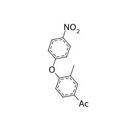 CC(=O)c1ccc(Oc2ccc([N+](=O)[O-])cc2)c(C)c1